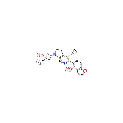 CC1(O)CC(N2CCc3c2nnc(-c2ccc4occc4c2O)c3C2CC2)C1